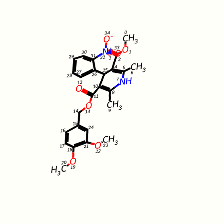 COC(=O)C1=C(C)NC(C)=C(C(=O)OCc2ccc(OC)c(OC)c2)C1c1ccccc1[N+](=O)[O-]